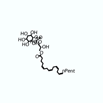 CCCCC/C=C\C/C=C\C/C=C\C/C=C\CCCC(=O)OC[C@@H](O)COP(=O)(O)O[C@H]1C(O)C(O)C(O)[C@@H](O)C1O